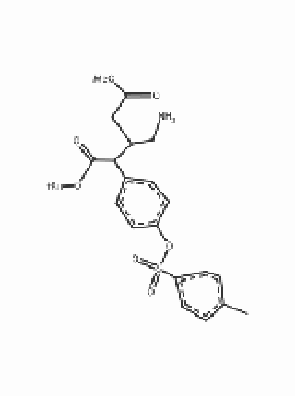 COC(=O)CC(CN)C(C(=O)OC(C)(C)C)c1ccc(OS(=O)(=O)c2ccc(C)cc2)cc1